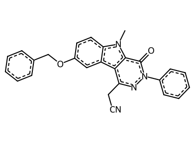 Cn1c2ccc(OCc3ccccc3)cc2c2c(CC#N)nn(-c3ccccc3)c(=O)c21